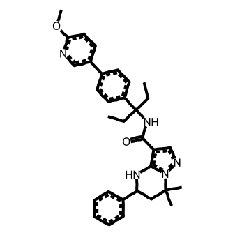 CCC(CC)(NC(=O)c1cnn2c1NC(c1ccccc1)CC2(C)C)c1ccc(-c2ccc(OC)nc2)cc1